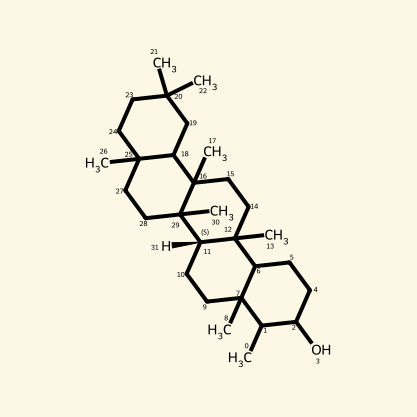 CC1C(O)CCC2C1(C)CC[C@H]1C2(C)CCC2(C)C3CC(C)(C)CCC3(C)CCC12C